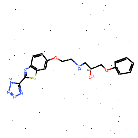 O[C@@H](CNCCOc1ccc2nc(-c3nnn[nH]3)sc2c1)COc1ccccc1